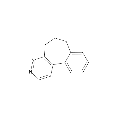 [c]1cnnc2c1-c1ccccc1CCC2